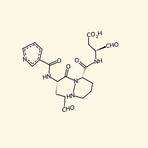 O=CCC[C@H](NC(=O)c1cccnc1)C(=O)N1NCCC[C@H]1C(=O)N[C@H](C=O)CC(=O)O